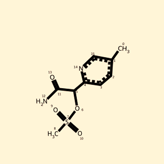 Cc1ccc(C(OS(C)(=O)=O)C(N)=O)nc1